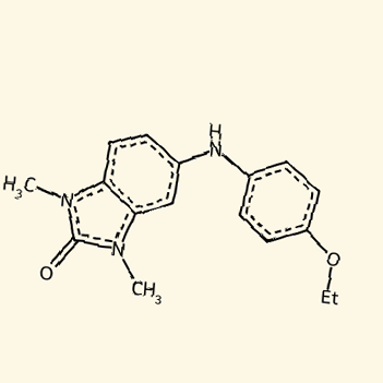 CCOc1ccc(Nc2ccc3c(c2)n(C)c(=O)n3C)cc1